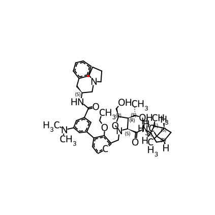 CCOc1c(CN2O[C@@H](CO)[C@@H]([C@H](C)O)[C@H]2C(=O)N[C@H]2C[C@H]3C[C@@H]([C@@H]2C)C3(C)C)cccc1-c1cc(C(=O)N[C@@H](Cc2ccccc2)CN2CCCC2)cc(N(C)C)c1